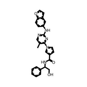 Cc1cnc(Nc2ccc3occc3c2)nc1-n1ccc(C(=O)NC(CO)c2ccccc2)c1